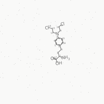 NC(CCc1ccc(N(CCCl)CCCl)cc1)C(=O)O